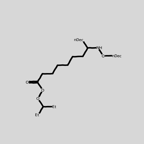 CCCCCCCCCCONC(CCCCCCCCCC)CCCCCCC(=O)OOC(CC)CC